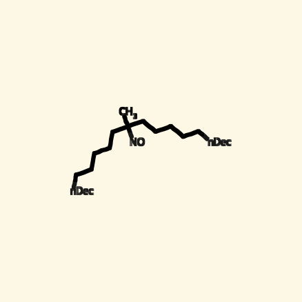 CCCCCCCCCCCCCCCC(C)(CCCCCCCCCCCCCCC)N=O